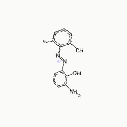 Nc1cccc(/N=N/c2c(O)cccc2F)c1O